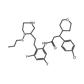 CCCSN1CCNCC1CCc1c(F)cc(F)cc1NC(=O)CC(c1ccc(Cl)cc1)C1CCOCC1